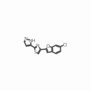 Clc1ccc2cc(-c3csc(-c4ccn[nH]4)n3)oc2c1